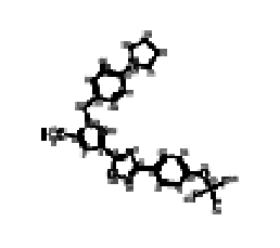 Cc1cc(-c2nc(-c3ccc(OC(F)(F)F)cc3)no2)nn1Cc1ccc(N2CCCC2)nc1